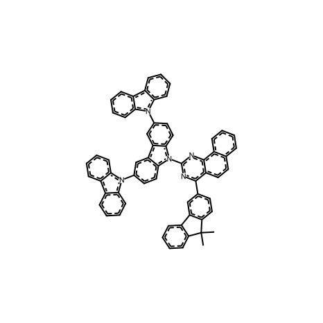 CC1(C)c2ccccc2-c2cc(-c3nc(-n4c5ccc(-n6c7ccccc7c7ccccc76)cc5c5cc(-n6c7ccccc7c7ccccc76)ccc54)nc4c3ccc3ccccc34)ccc21